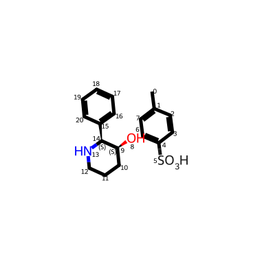 Cc1ccc(S(=O)(=O)O)cc1.O[C@H]1CCCN[C@H]1c1ccccc1